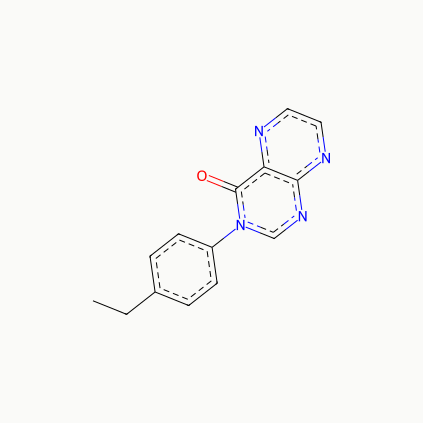 CCc1ccc(-n2cnc3nccnc3c2=O)cc1